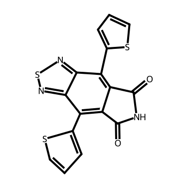 O=C1NC(=O)c2c1c(-c1cccs1)c1nsnc1c2-c1cccs1